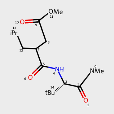 CNC(=O)[C@@H](NC(=O)C(CC(=O)OC)CC(C)C)C(C)(C)C